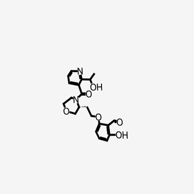 CC(O)c1ncccc1C(=O)N1CCOC[C@H]1CCOc1cccc(O)c1C=O